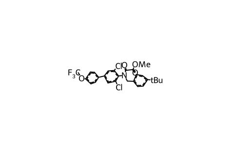 COC(=O)C(=O)N(Cc1ccc(C(C)(C)C)cc1)c1c(Cl)cc(-c2ccc(OC(F)(F)F)cc2)cc1Cl